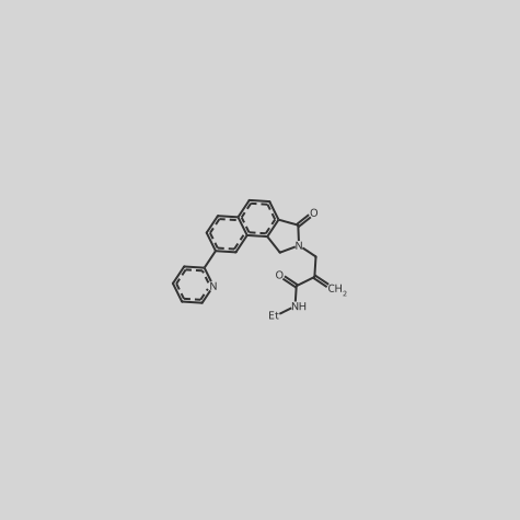 C=C(CN1Cc2c(ccc3ccc(-c4ccccn4)cc23)C1=O)C(=O)NCC